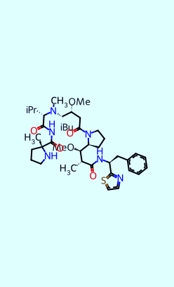 CC[C@H](C)[C@@H]([C@@H](CC(=O)N1CCC[C@H]1[C@H](OC)[C@@H](C)C(=O)N[C@@H](Cc1ccccc1)c1nccs1)OC)N(C)[C@H](C(=O)NC(=O)[C@@]1(C)CCCN1)C(C)C